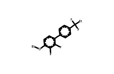 CCOc1ccc(-c2ccc(C(F)(F)CC)cc2)c(F)c1F